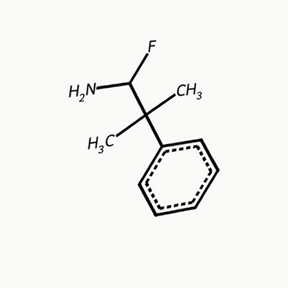 CC(C)(c1ccccc1)C(N)F